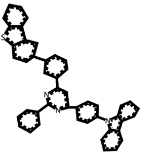 c1ccc(-c2nc(-c3ccc(-n4c5ccccc5c5ccccc54)cc3)cc(-c3cccc(-c4ccc5sc6ccccc6c5c4)c3)n2)cc1